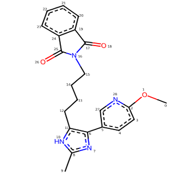 COc1ccc(-c2nc(C)[nH]c2CCCCN2C(=O)c3ccccc3C2=O)cn1